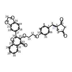 O=C1CC(=O)/C(=C/c2ccc(OCCOc3c(-c4ccc5c(c4)OCO5)oc4ccccc4c3=O)cc2)S1